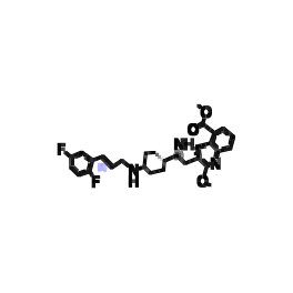 COC(=O)c1cccc2nc(OC)c(C[C@@H](N)[C@H]3CC[C@H](NC/C=C/c4cc(F)ccc4F)CC3)cc12